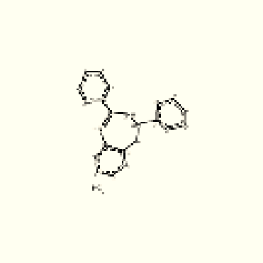 Cl.c1ccc(C2=Nc3ccccc3CN(c3ccccc3)N2)cc1